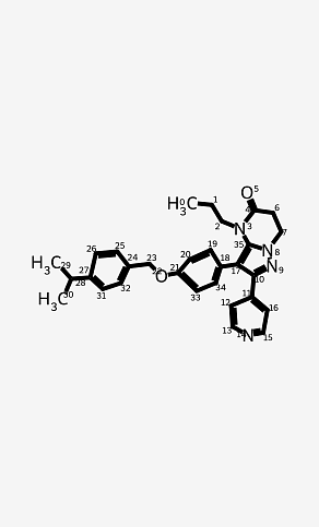 CCCN1C(=O)CCn2nc(-c3ccncc3)c(-c3ccc(OCc4ccc(C(C)C)cc4)cc3)c21